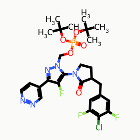 CC(C)(C)OP(=O)(OCn1nc(-c2ccnnc2)c(F)c1N1CCC(Cc2cc(F)c(Cl)c(F)c2)C1=O)OC(C)(C)C